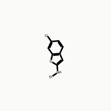 CCNc1cc2ccc(Cl)cc2o1